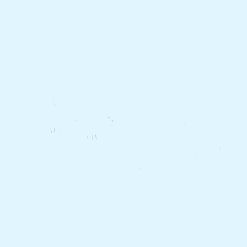 COC(=O)C1=C(c2ccccc2NC(=O)C(C)(C)C)COC1